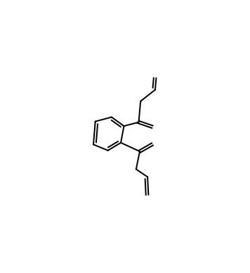 C=CCC(=C)c1ccccc1C(=C)CC=C